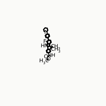 COC(=O)Nc1ccc2c(c1)C(C)(C)c1c-2[nH]c2c(F)c(-c3ccc(N4CCCCC4)cc3)ccc12